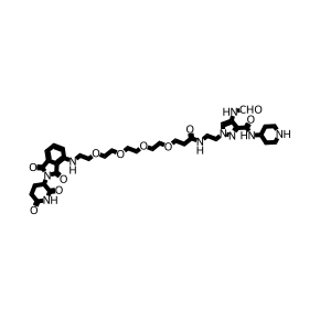 O=CNc1cn(CCNC(=O)CCOCCOCCOCCOCCNc2cccc3c2C(=O)N(C2CCC(=O)NC2=O)C3=O)nc1C(=O)NC1CCNCC1